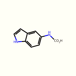 O=C(O)Nc1ccc2[nH]ccc2c1